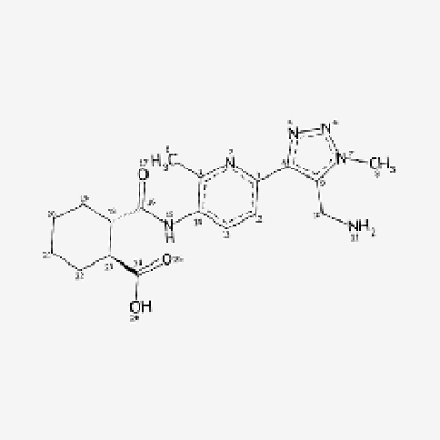 Cc1nc(-c2nnn(C)c2CN)ccc1NC(=O)[C@H]1CCCC[C@@H]1C(=O)O